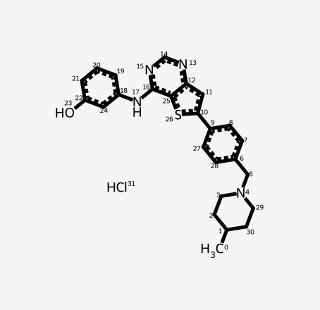 CC1CCN(Cc2ccc(-c3cc4ncnc(Nc5cccc(O)c5)c4s3)cc2)CC1.Cl